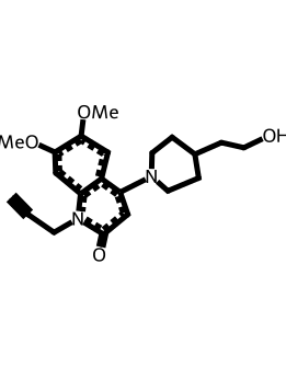 C#CCn1c(=O)cc(N2CCC(CCO)CC2)c2cc(OC)c(OC)cc21